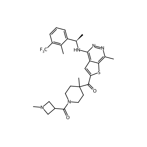 Cc1c([C@@H](C)Nc2nnc(C)c3sc(C(=O)C4(C)CCN(C(=O)C5CN(C)C5)CC4)cc23)cccc1C(F)(F)F